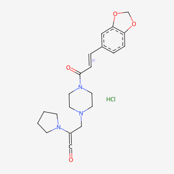 Cl.O=C=C(CN1CCN(C(=O)/C=C/c2ccc3c(c2)OCO3)CC1)N1CCCC1